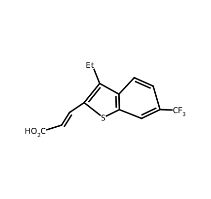 CCc1c(C=CC(=O)O)sc2cc(C(F)(F)F)ccc12